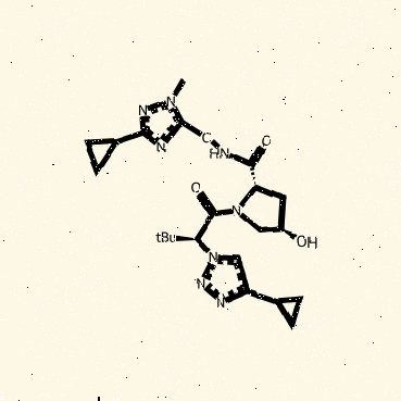 Cn1nc(C2CC2)nc1CNC(=O)[C@@H]1C[C@@H](O)CN1C(=O)[C@@H](n1cc(C2CC2)nn1)C(C)(C)C